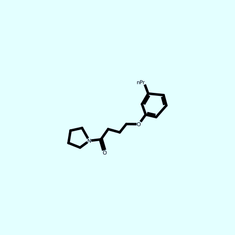 [CH2]CCc1cccc(OCCCC(=O)N2CCCC2)c1